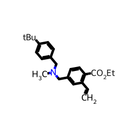 C=Cc1cc(CN(C)Cc2ccc(C(C)(C)C)cc2)ccc1C(=O)OCC